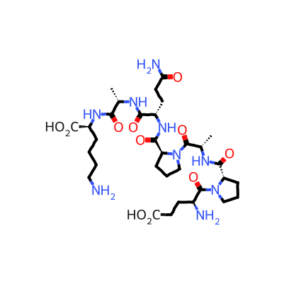 C[C@H](NC(=O)[C@H](CCC(N)=O)NC(=O)[C@@H]1CCCN1C(=O)[C@H](C)NC(=O)[C@@H]1CCCN1C(=O)[C@@H](N)CCC(=O)O)C(=O)N[C@@H](CCCCN)C(=O)O